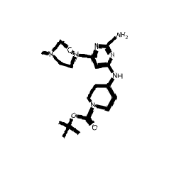 CN1CCN(c2cc(NC3CCN(C(=O)OC(C)(C)C)CC3)nc(N)n2)CC1